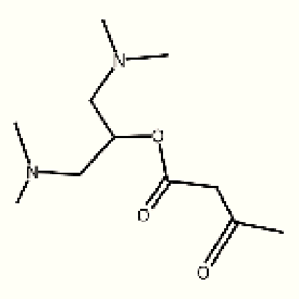 CC(=O)CC(=O)OC(CN(C)C)CN(C)C